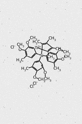 COc1cc([Si](c2cc(C)c(OC)c(OC)c2)(c2cc(C)c(OC)c(OC)c2)[C]2([Ti+3])C(C)=C(C)C(C)=C2C)cc(C)c1OC.[Cl-].[Cl-].[Cl-]